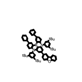 CC(C)(C)c1cc(N2c3ccc(-c4ccccc4)cc3B3c4cc(-c5ccccc5)ccc4N(c4cc(C(C)(C)C)cc(C(C)(C)C)c4)c4cc(-c5ccc6oc7ccccc7c6c5)cc2c43)cc(C(C)(C)C)c1